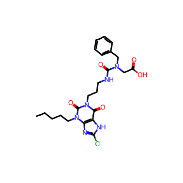 CCCCCn1c(=O)n(CCCNC(=O)N(CC(=O)O)Cc2ccccc2)c(=O)c2[nH]c(Cl)nc21